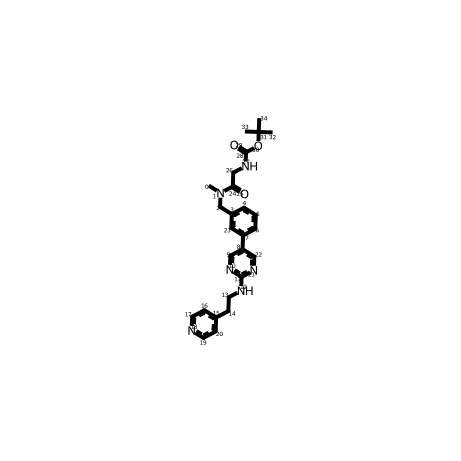 CN(Cc1cccc(-c2cnc(NCCc3ccncc3)nc2)c1)C(=O)CNC(=O)OC(C)(C)C